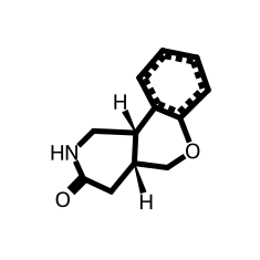 O=C1C[C@H]2COc3ccccc3[C@H]2CN1